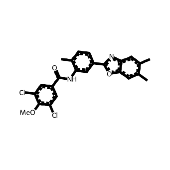 COc1c(Cl)cc(C(=O)Nc2cc(-c3nc4cc(C)c(C)cc4o3)ccc2C)cc1Cl